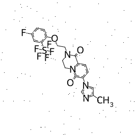 Cc1cn(-c2ccc3n(c2=O)CCN(CCOc2ccc(F)cc2S(F)(F)(F)(F)F)C3=O)cn1